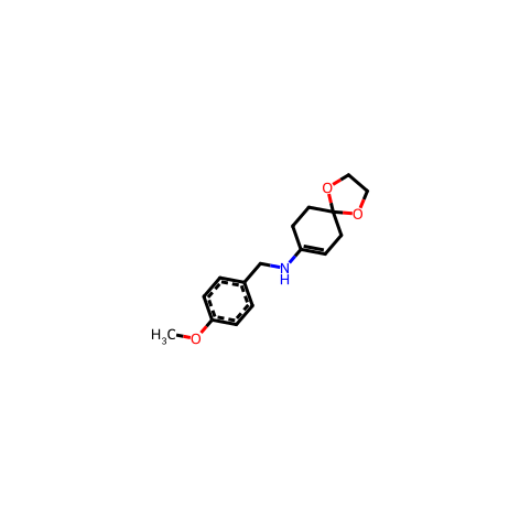 COc1ccc(CNC2=CCC3(CC2)OCCO3)cc1